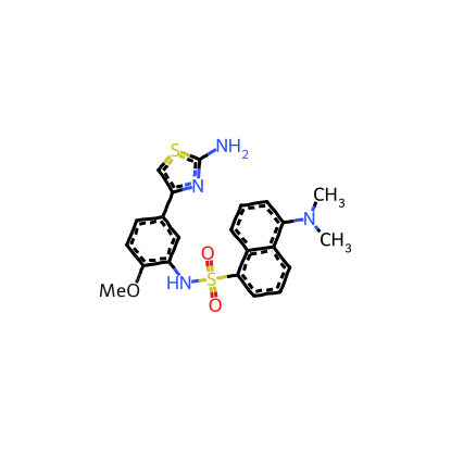 COc1ccc(-c2csc(N)n2)cc1NS(=O)(=O)c1cccc2c(N(C)C)cccc12